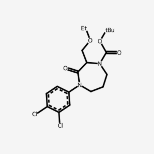 CCOCC1C(=O)N(c2ccc(Cl)c(Cl)c2)CCCN1C(=O)OC(C)(C)C